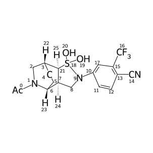 CC(=O)N1C[C@H]2CC[C@@H]1[C@@H]1CN(c3ccc(C#N)c(C(F)(F)F)c3)S(O)(O)[C@H]21